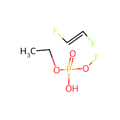 CCOP(=O)(O)OF.FC=CF